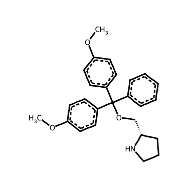 COc1ccc(C(OC[C@@H]2CCCN2)(c2ccccc2)c2ccc(OC)cc2)cc1